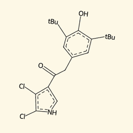 CC(C)(C)c1cc(CC(=O)c2c[nH]c(Cl)c2Cl)cc(C(C)(C)C)c1O